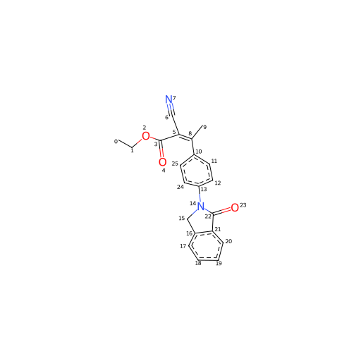 CCOC(=O)C(C#N)=C(C)c1ccc(N2Cc3ccccc3C2=O)cc1